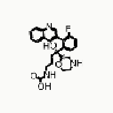 O=C(O)NCCC[C@@](O)(c1cccc(F)c1-c1cnc2ccccc2c1)[C@H]1CNCCO1